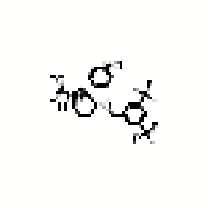 COC(=O)[C@H]1C[C@]2(c3ccccc3)N[C@H]1CC[C@H]2OCc1cc(C(F)(F)F)cc(C(F)(F)F)c1.Cl